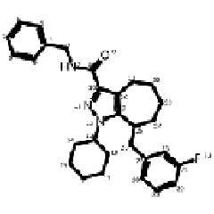 O=C(NCc1ccccc1)c1nn(C2CCCCC2)c2c1CCCCC2Cc1cccc(F)c1